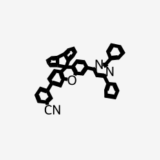 N#Cc1cccc(-c2ccc3c(c2)Oc2cc(-c4cc(-c5ccccc5)nc(-c5ccccc5)n4)ccc2C32c3ccccc3-c3ccccc32)c1